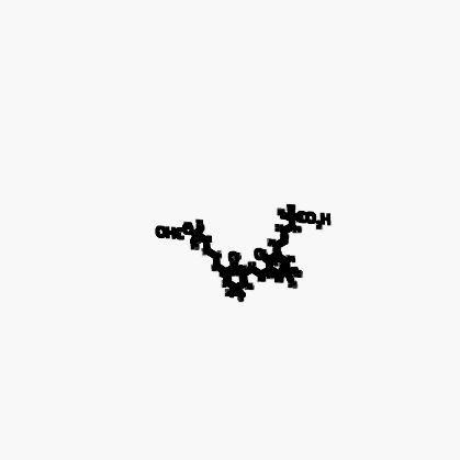 CC1(C)C=C(CCCCC(C)(C)OC=O)C(=O)C(CCC2=CC(C)(C)C=C(CCCCC(C)(C)C(=O)O)C2=O)=C1